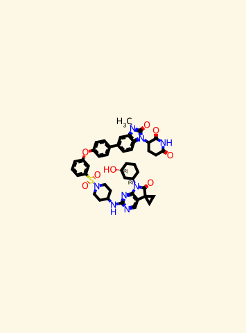 Cn1c(=O)n(C2CCC(=O)NC2=O)c2ccc(-c3ccc(Oc4cccc(S(=O)(=O)N5CCC(Nc6ncc7c(n6)N([C@@H]6CCC[C@@H](O)C6)C(=O)C76CC6)CC5)c4)cc3)cc21